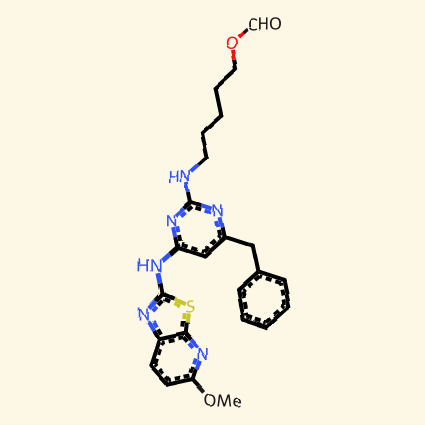 COc1ccc2nc(Nc3cc(Cc4ccccc4)nc(NCCCCCOC=O)n3)sc2n1